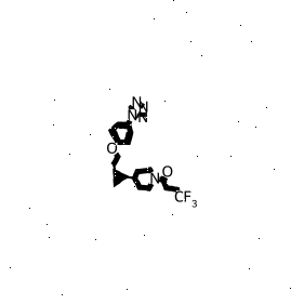 O=C(CCC(F)(F)F)N1CCC([C@H]2C[C@H]2CCOc2ccc(-n3cnnn3)cc2)CC1